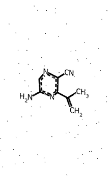 C=C(C)c1nc(N)cnc1C#N